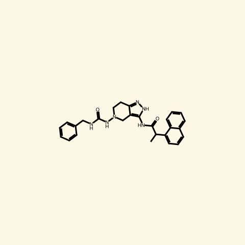 CC(C(=O)Nc1[nH]nc2c1CN(NC(=O)NCc1ccccc1)CC2)c1cccc2ccccc12